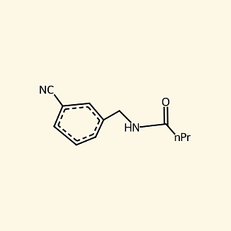 CCCC(=O)NCc1cccc(C#N)c1